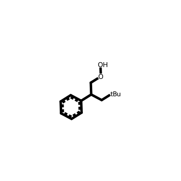 CC(C)(C)CC(COO)c1ccccc1